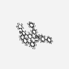 C1=CC(c2cc(-c3ccccc3)c3c(ccc4ccc(-c5cccc(C6=CC(C7C=CC(c8ccccc8)=CC7)NC(c7ccc(-c8ccccc8)cc7)=C6)c5)cc43)n2)=CCC1